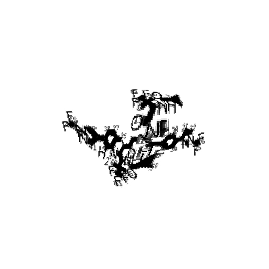 CC(C)([C@H](NC(=O)C1CC1)C(=O)NN(Cc1c(F)cc(-c2ccn(C(F)F)n2)cc1F)C[C@@H](O)[C@@H](Cc1ccc(-c2cnn(C(F)F)c2)cc1)C(N)[C@@H](NC(=O)C1CC1)C(C)(C)C(F)(F)F)C(F)(F)F